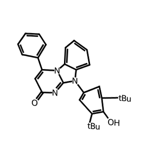 CC(C)(C)c1cc(-n2c3ccccc3n3c(-c4ccccc4)cc(=O)nc23)cc(C(C)(C)C)c1O